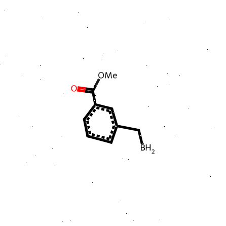 BCc1cccc(C(=O)OC)c1